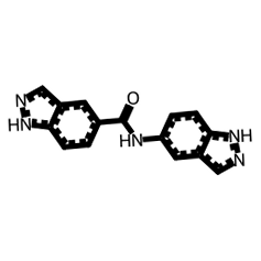 O=C(Nc1ccc2[nH]ncc2c1)c1ccc2[nH]ncc2c1